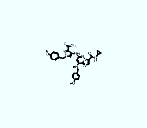 COc1ccc(CN(C)c2cc(Nc3cn(Cc4ccc(OC)cc4)nc3C(=O)O)nn3c(C(=O)NC4CC4)cnc23)cc1